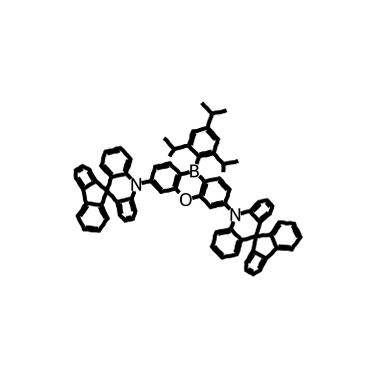 CC(C)c1cc(C(C)C)c(B2c3ccc(N4c5ccccc5C5(c6ccccc6-c6ccccc65)c5ccccc54)cc3Oc3cc(N4c5ccccc5C5(c6ccccc6-c6ccccc65)c5ccccc54)ccc32)c(C(C)C)c1